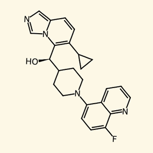 O[C@@H](c1c(C2CC2)ccc2cncn12)C1CCN(c2ccc(F)c3ncccc23)CC1